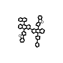 c1ccc(-c2ccc(-c3c4ccccc4c(-c4ccc5c(c4)oc4ccccc45)c4cc(-c5ccc6c(-c7cccc8ccccc78)c7ccccc7c(-c7ccc8c(c7)oc7ccccc78)c6c5)ccc34)cc2)cc1